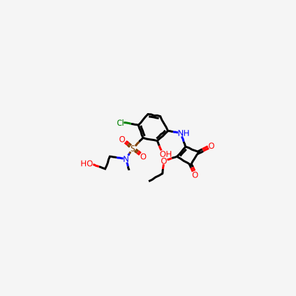 CCOc1c(Nc2ccc(Cl)c(S(=O)(=O)N(C)CCO)c2O)c(=O)c1=O